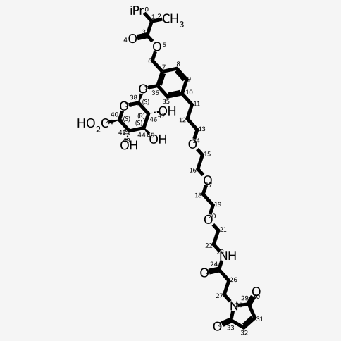 CC(C)C(C)C(=O)OCc1ccc(CCCOCCOCCOCCNC(=O)CCN2C(=O)C=CC2=O)cc1O[C@@H]1O[C@H](C(=O)O)[C@@H](O)[C@H](O)[C@H]1O